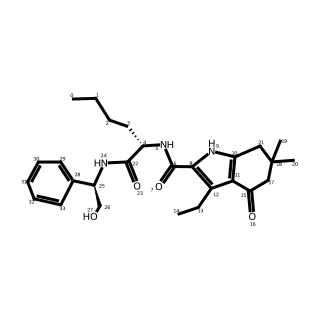 CCCC[C@H](NC(=O)c1[nH]c2c(c1CC)C(=O)CC(C)(C)C2)C(=O)N[C@@H](CO)c1ccccc1